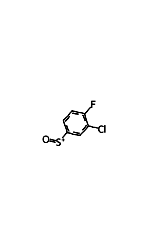 O=[S+]c1ccc(F)c(Cl)c1